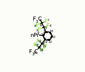 [CH2]CCc1c(C(F)(F)C(F)(F)C(F)(F)F)cccc1C(F)(F)C(F)(F)C(F)(F)F